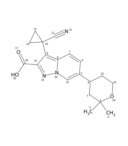 CC1(C)CC(c2ccc3c(C4(C#N)CC4)c(C(=O)O)nn3c2)CCO1